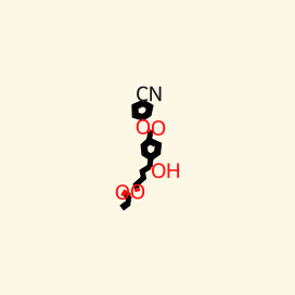 C=CC(=O)OCCCC(O)c1ccc(C(=O)Oc2ccc(C#N)cc2)cc1